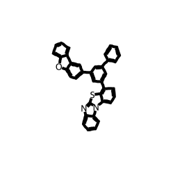 c1ccc(-c2cc(-c3ccc4oc5ccccc5c4c3)cc(-c3cccc4c3sc3nc5ccccc5n34)c2)cc1